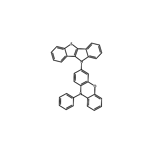 c1ccc(N2c3ccccc3Oc3cc(-n4c5ccccc5c5sc6ccccc6c54)ccc32)cc1